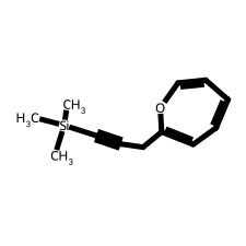 C[Si](C)(C)C#CCC1=CC=CC=CO1